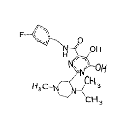 CC(C)N1CCN(C)CC1c1nc(O)c(O)c(C(=O)NCc2ccc(F)cc2)n1